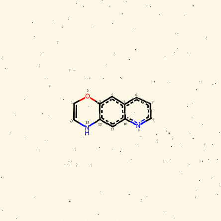 C1=COc2cc3cccnc3cc2N1